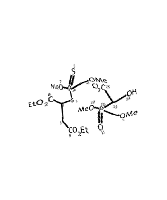 CCOC(=O)CC(SP(=S)(OC)OC)C(=O)OCC.COP(=O)(OC)C(O)C(Cl)(Cl)Cl